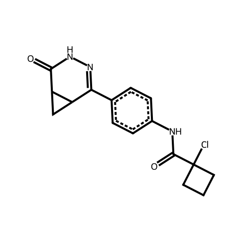 O=C1NN=C(c2ccc(NC(=O)C3(Cl)CCC3)cc2)C2CC12